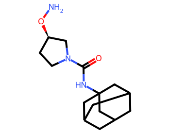 NO[C@@H]1CCN(C(=O)NC23CC4CC(CC(C4)C2)C3)C1